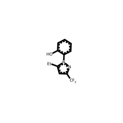 CCc1cc(C(F)(F)F)nn1-c1ccccc1O